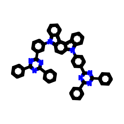 c1ccc(-c2nc(-c3ccccc3)nc(-c3ccc(-n4c5ccccc5c5c6c7ccccc7n(-c7cccc(-c8nc(-c9ccccc9)nc(-c9ccccc9)n8)c7)c6ccc54)cc3)n2)cc1